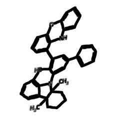 CC12CCCCC1(C)N1c3cc(-c4ccccc4)cc(-c4cccc5c4Nc4ccccc4O5)c3Bc3cccc2c31